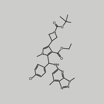 CCOC(=O)c1c(C2CN(C(=O)OC(C)(C)C)C2)cn(C)c1C(Nc1cc(C)c2nnn(C)c2n1)c1ccc(Cl)cc1